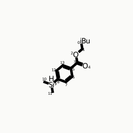 CCC(C)COC(=O)c1ccc([SiH](C)C)cc1